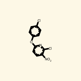 O=[N+]([O-])c1ccc(Oc2ccc(Cl)cc2)nc1Cl